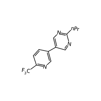 CCCc1ncc(-c2ccc(C(F)(F)F)nc2)cn1